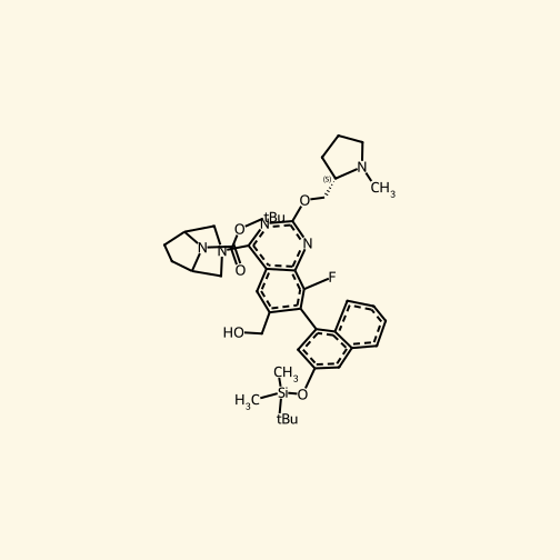 CN1CCC[C@H]1COc1nc(N2CC3CCC(C2)N3C(=O)OC(C)(C)C)c2cc(CO)c(-c3cc(O[Si](C)(C)C(C)(C)C)cc4ccccc34)c(F)c2n1